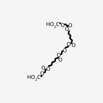 O=C(O)COCC(=O)OCCCCCC(=O)OCCOCCOC(=O)CCCCCOC(=O)COCC(=O)O